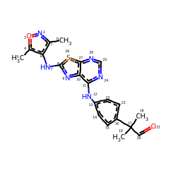 Cc1noc(C)c1Nc1nc2c(Nc3ccc(C(C)(C)C=O)cc3)ncnc2s1